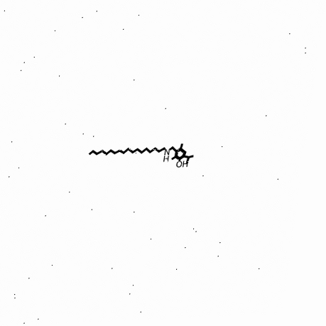 CCCCCCCCCCCCCCCCCCNCc1c(C)cc(C(C)C)c(O)c1C